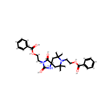 CC1(C)CC2(CC(C)(C)N1CCOC(=O)c1ccccc1)NC(=O)N(CCOC(=O)c1ccccc1)C2=O